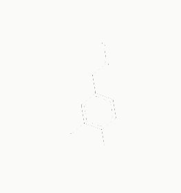 NNCc1ccc(Cl)c(Cl)c1